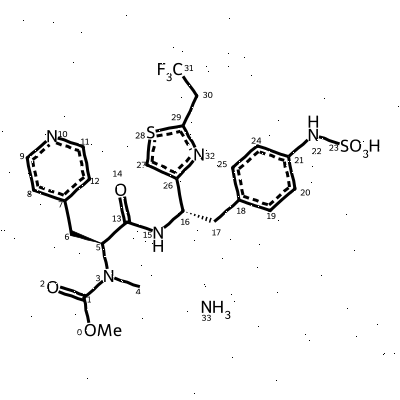 COC(=O)N(C)[C@@H](Cc1ccncc1)C(=O)N[C@@H](Cc1ccc(NS(=O)(=O)O)cc1)c1csc(CC(F)(F)F)n1.N